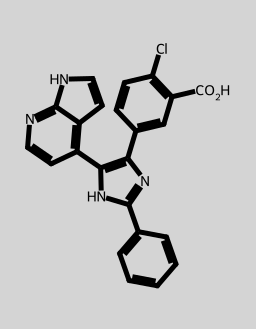 O=C(O)c1cc(-c2nc(-c3ccccc3)[nH]c2-c2ccnc3[nH]ccc23)ccc1Cl